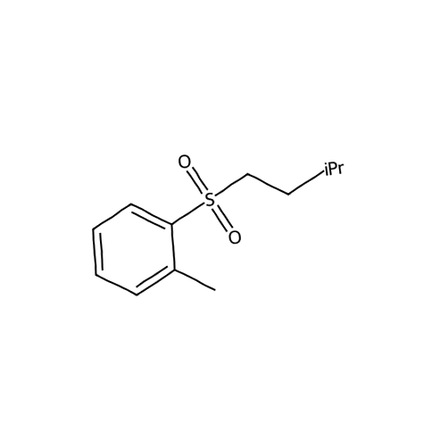 Cc1ccccc1S(=O)(=O)CCC(C)C